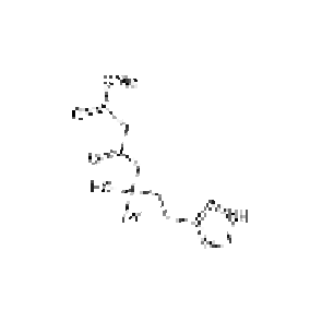 COC(=O)CC(=O)CC(O)(CCc1cc[nH]c1)C(C)C